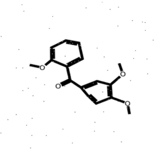 COc1ccc(C(=O)c2ccccc2OC)cc1OC